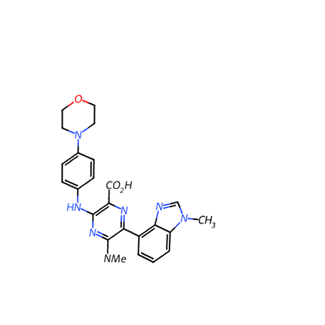 CNc1nc(Nc2ccc(N3CCOCC3)cc2)c(C(=O)O)nc1-c1cccc2c1ncn2C